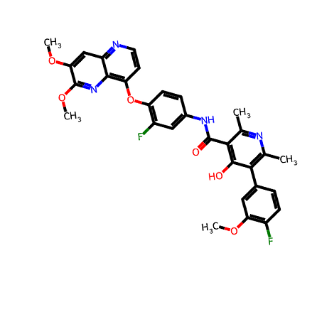 COc1cc(-c2c(C)nc(C)c(C(=O)Nc3ccc(Oc4ccnc5cc(OC)c(OC)nc45)c(F)c3)c2O)ccc1F